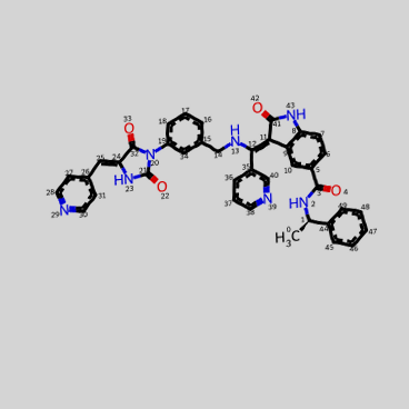 C[C@@H](NC(=O)c1ccc2c(c1)/C(=C(/NCc1cccc(N3C(=O)N/C(=C\c4ccncc4)C3=O)c1)c1cccnc1)C(=O)N2)c1ccccc1